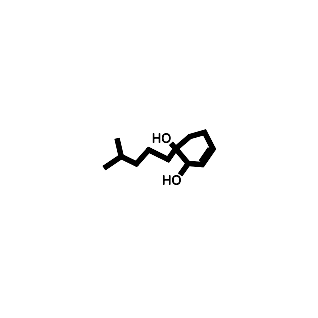 CC(C)CCCC1(O)CCC=CC1O